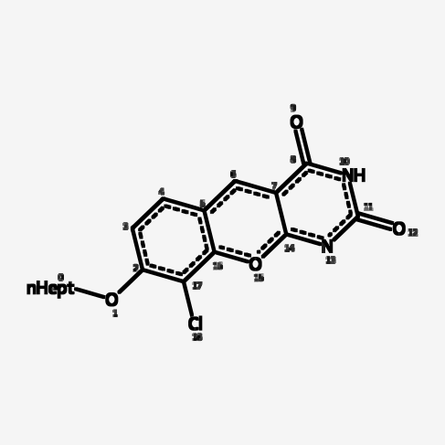 CCCCCCCOc1ccc2cc3c(=O)[nH]c(=O)nc-3oc2c1Cl